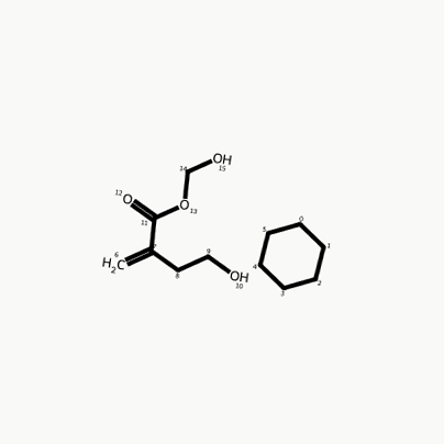 C1CCCCC1.C=C(CCO)C(=O)OCO